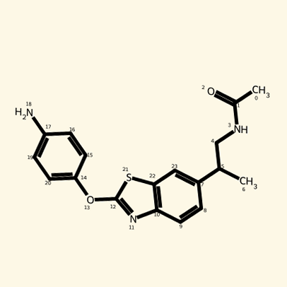 CC(=O)NCC(C)c1ccc2nc(Oc3ccc(N)cc3)sc2c1